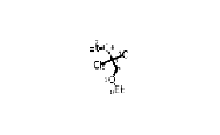 CCOCC(Cl)(Cl)OCC